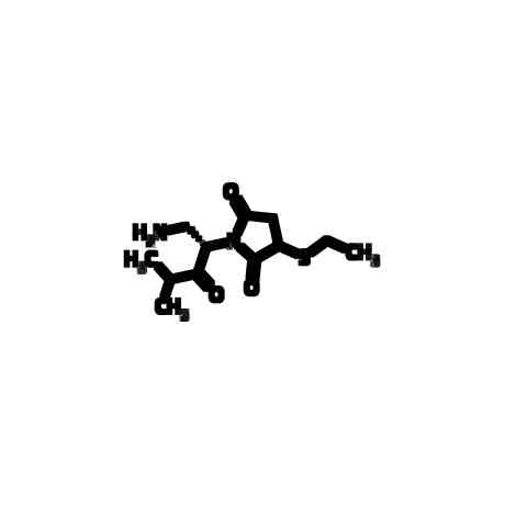 CCSC1CC(=O)N([C@@H](CN)C(=O)C(C)C)C1=O